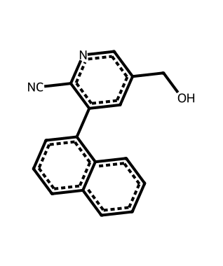 N#Cc1ncc(CO)cc1-c1cccc2ccccc12